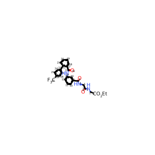 CCOC(=O)CNC(=O)CNC(=O)c1cccc(NC(=O)c2ccccc2-c2ccc(C(F)(F)F)cc2)c1